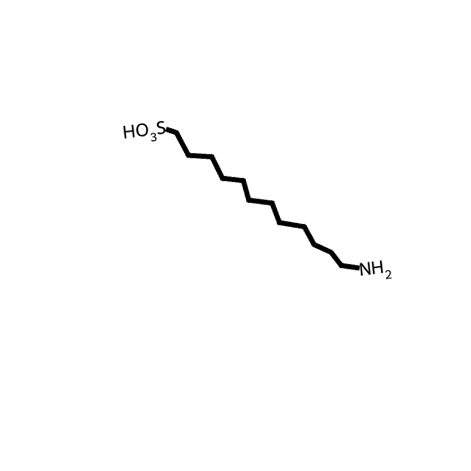 NCCCCCCCCCCCCS(=O)(=O)O